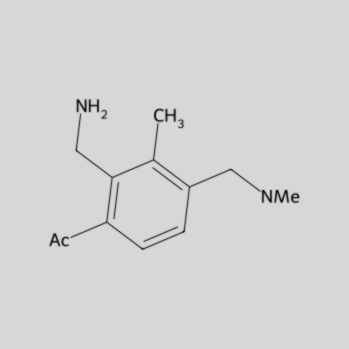 CNCc1ccc(C(C)=O)c(CN)c1C